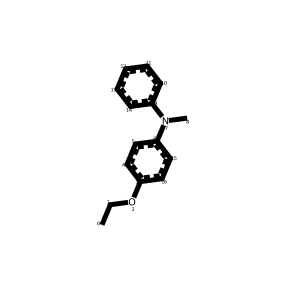 CCOc1ccc(N(C)c2ccccc2)cc1